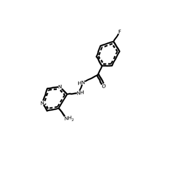 Nc1cncnc1NNC(=O)c1ccc(F)cc1